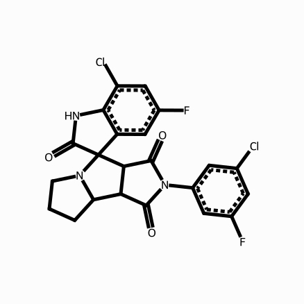 O=C1C2C3CCCN3C3(C(=O)Nc4c(Cl)cc(F)cc43)C2C(=O)N1c1cc(F)cc(Cl)c1